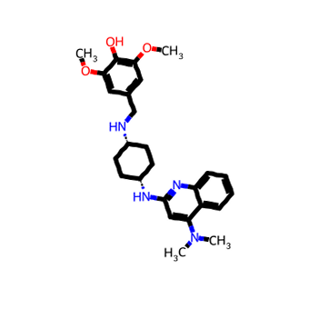 COc1cc(CN[C@H]2CC[C@@H](Nc3cc(N(C)C)c4ccccc4n3)CC2)cc(OC)c1O